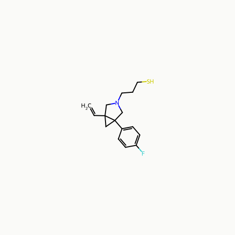 C=CC12CN(CCCS)CC1(c1ccc(F)cc1)C2